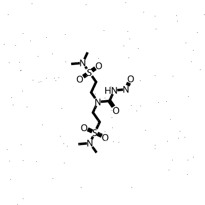 CN(C)S(=O)(=O)CCN(CCS(=O)(=O)N(C)C)C(=O)NN=O